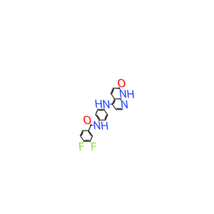 O=C(Nc1ccc(Nc2ccnc3[nH]c(=O)ccc23)cc1)c1ccc(F)c(F)c1